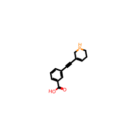 O=C(O)c1cccc(C#CC2=CCCPC2)c1